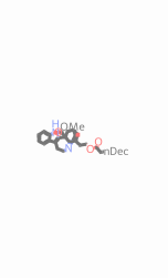 CCCCCCCCCCCC(=O)OCCC1CC2CN3CCc4c([nH]c5ccccc45)C(C(=O)OC)(C2)C13